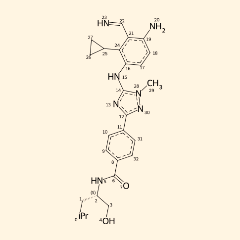 CC(C)C[C@@H](CO)NC(=O)c1ccc(-c2nc(Nc3ccc(N)c(C=N)c3C3CC3)n(C)n2)cc1